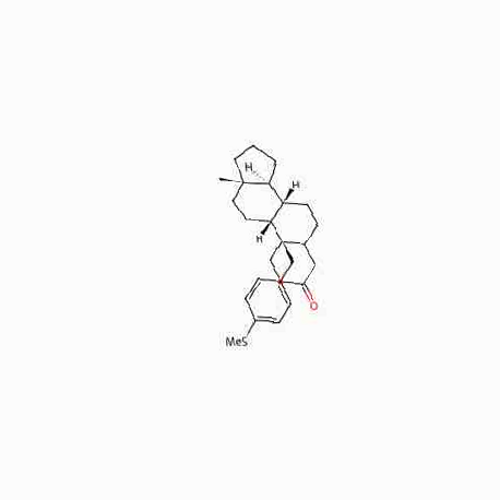 CSc1ccc(C[C@]23CCC(=O)CC2CC[C@@H]2[C@H]3CC[C@]3(C)CCC[C@@H]23)cc1